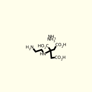 N.N.NCCNC(CC(=O)O)(CC(=O)O)C(=O)O